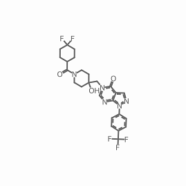 O=C(C1CCC(F)(F)CC1)N1CCC(O)(Cn2cnc3c(cnn3-c3ccc(C(F)(F)F)cc3)c2=O)CC1